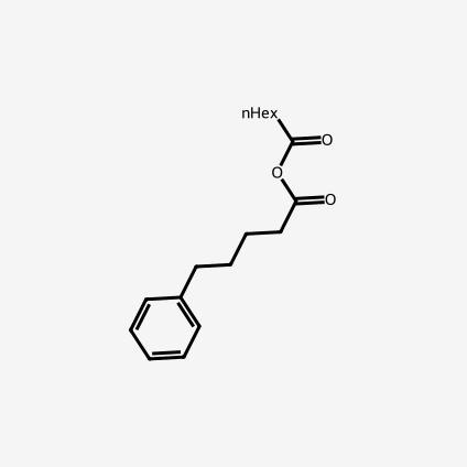 CCCCCCC(=O)OC(=O)CCCCc1ccccc1